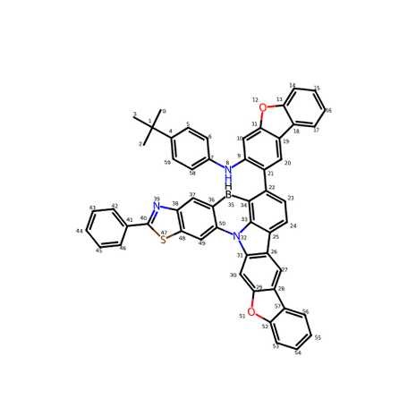 CC(C)(C)c1ccc(Nc2cc3oc4ccccc4c3cc2-c2ccc3c4cc5c(cc4n4c3c2Bc2cc3nc(-c6ccccc6)sc3cc2-4)oc2ccccc25)cc1